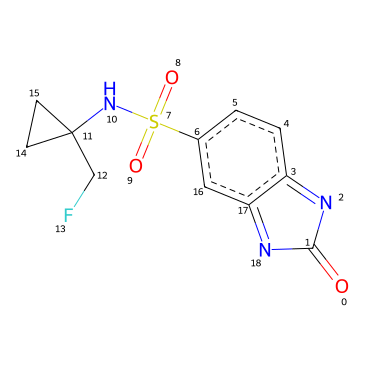 O=C1N=c2ccc(S(=O)(=O)NC3(CF)CC3)cc2=N1